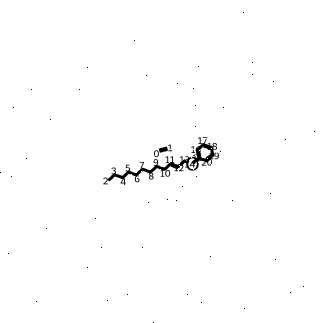 C=C.CCCCCCCCCC=CCOc1ccccc1